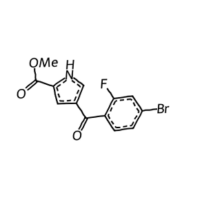 COC(=O)c1cc(C(=O)c2ccc(Br)cc2F)c[nH]1